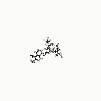 CC[C@@H]1CC1(NC(=O)[C@@H]1C[C@@H](Oc2nccc3c(Cl)c(OC)ccc23)CN1C(=O)OC(C)(C)C)C(=O)OC